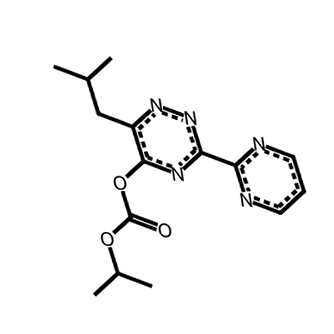 CC(C)Cc1nnc(-c2ncccn2)nc1OC(=O)OC(C)C